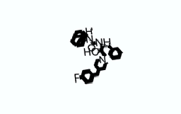 O=C(N[C@H](Cc1ccccc1)[C@H](O)CN1CCC(Cc2ccc(F)cc2)CC1)NC12CC3CC(CC(C3)C1)C2